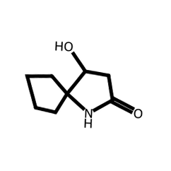 O=C1CC(O)C2(CCCC2)N1